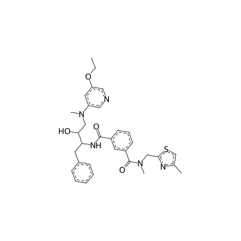 CCOc1cncc(N(C)CC(O)C(Cc2ccccc2)NC(=O)c2cccc(C(=O)N(C)Cc3nc(C)cs3)c2)c1